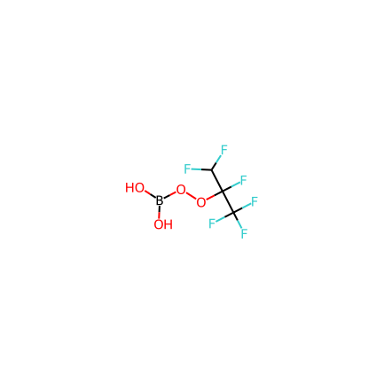 OB(O)OOC(F)(C(F)F)C(F)(F)F